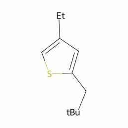 CCc1csc(CC(C)(C)C)c1